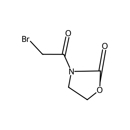 O=C(CBr)N1CCOC1=O